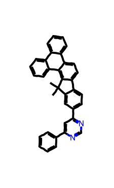 CC1(C)c2cc(-c3cc(-c4ccccc4)ncn3)ccc2-c2ccc3c4ccccc4c4ccccc4c3c21